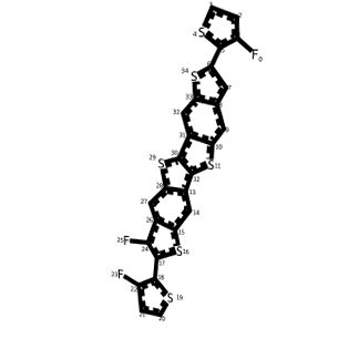 Fc1ccsc1-c1cc2cc3sc4c5cc6sc(-c7sccc7F)c(F)c6cc5sc4c3cc2s1